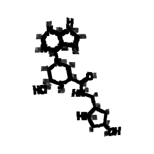 Cl.O=C(NC[C@H]1C[C@@H](O)CN1)C1=CN(c2ncnc3[nH]cnc23)CCS1